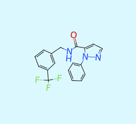 O=C(NCc1cccc(C(F)(F)F)c1)c1ccnn1-c1ccccc1